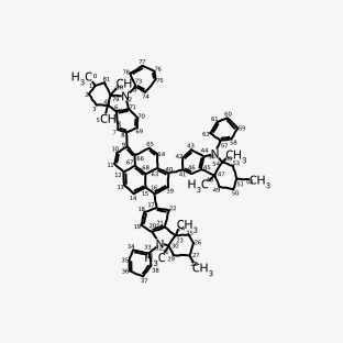 CC1CCC2(C)c3cc(-c4ccc5ccc6c(-c7ccc8c(c7)C7(C)CCC(C)CC7(C)N8c7ccccc7)cc(-c7ccc8c(c7)C7(C)CCC(C)CC7(C)N8c7ccccc7)c7ccc4c5c67)ccc3N(c3ccccc3)C2(C)C1